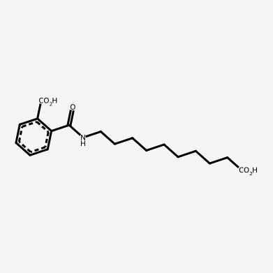 O=C(O)CCCCCCCCCNC(=O)c1ccccc1C(=O)O